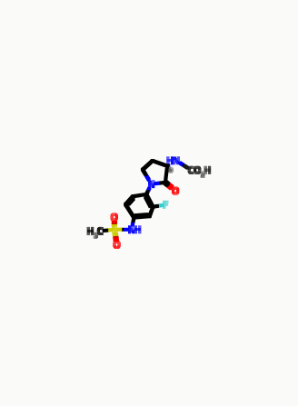 CS(=O)(=O)Nc1ccc(N2CC[C@H](NC(=O)O)C2=O)c(F)c1